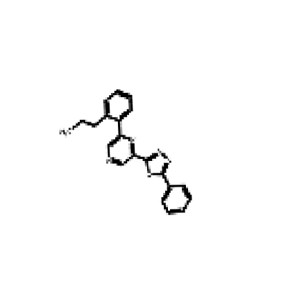 CCCc1ccccc1-c1cncc(-c2nnc(-c3ccccc3)o2)n1